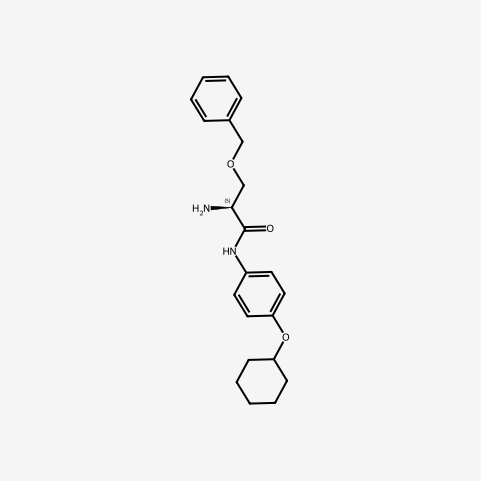 N[C@@H](COCc1ccccc1)C(=O)Nc1ccc(OC2CCCCC2)cc1